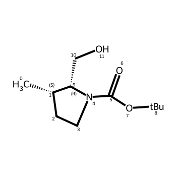 C[C@H]1CCN(C(=O)OC(C)(C)C)[C@H]1CO